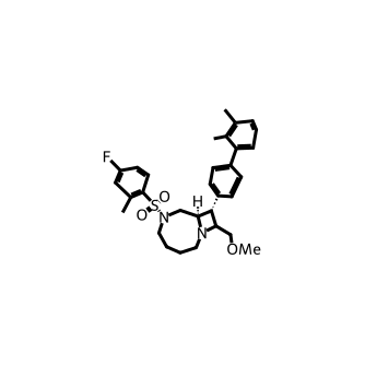 COCC1[C@@H](c2ccc(-c3cccc(C)c3C)cc2)[C@@H]2CN(S(=O)(=O)c3ccc(F)cc3C)CCCCN12